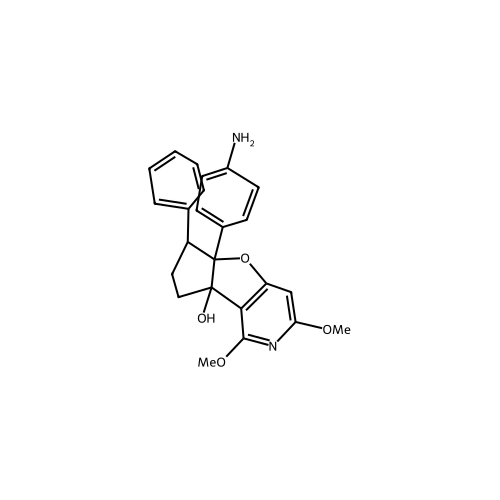 COc1cc2c(c(OC)n1)C1(O)CCC(c3ccccc3)C1(c1ccc(N)cc1)O2